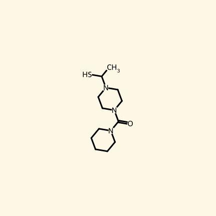 CC(S)N1CCN(C(=O)N2CCCCC2)CC1